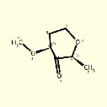 CO[C@H]1CCO[C@@H](C)C1=O